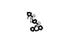 O=C(Nc1ccc(C(=O)N2Cc3ccccc3CCc3ccccc32)cc1)c1ccccc1F